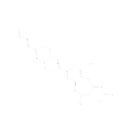 CCCN(CCC)C(=O)C1=Cc2c(cc(-c3ccc4c(=O)n(CC(=O)NCC)ccc4c3)cc2OC)N=C(N)C1